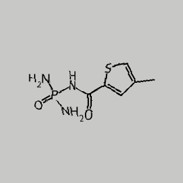 Cc1csc(C(=O)NP(N)(N)=O)c1